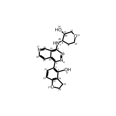 Oc1c(-c2nnc(N[C@@H]3CCOC[C@@H]3O)c3cnccc23)ccc2c1CCO2